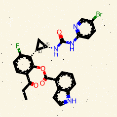 CCC(=O)c1ccc(F)c([C@@H]2C[C@@H]2NC(=O)Nc2ccc(Br)cn2)c1OC(=O)c1cccc2[nH]ccc12